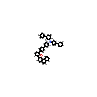 c1ccc(-c2ccc(N(c3ccc(-c4ccc(-c5cccc6c5oc5c6ccc6ccc7ccccc7c65)cc4)cc3)c3cccc(-c4ccccc4)c3)cc2)cc1